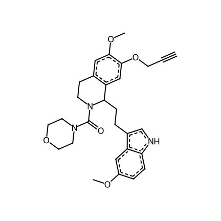 C#CCOc1cc2c(cc1OC)CCN(C(=O)N1CCOCC1)C2CCc1c[nH]c2ccc(OC)cc12